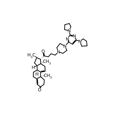 C[C@@H]1C[C@H]2[C@@H]3CCC4=CC(=O)CC[C@]4(C)C3=CC[C@]2(C)[C@H]1C(=O)CCCN1CCN(c2cc(N3CCCC3)nc(N3CCCC3)n2)CC1